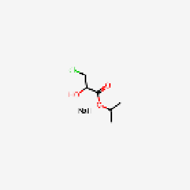 CC(C)OC(=O)C(O)CCl.[NaH]